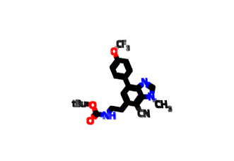 Cn1cnc2c(-c3ccc(OC(F)(F)F)cc3)cc(CCNC(=O)OC(C)(C)C)c(C#N)c21